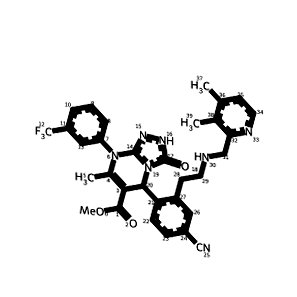 COC(=O)C1=C(C)N(c2cccc(C(F)(F)F)c2)c2n[nH]c(=O)n2C1c1ccc(C#N)cc1CCNCc1nccc(C)c1C